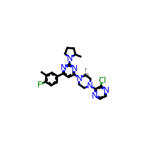 Cc1cc(-c2cc(N3CCN(c4nccnc4Cl)C[C@H]3C)nc(N3CCCC3C)n2)ccc1F